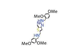 COc1ccc(CNCc2cc3nc(NCc4ccc(OC)cc4OC)ncc3s2)c(OC)c1